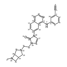 C#Cc1cccc(Nc2ncnc3ccc(-n4ccn(CCN5CC6CN(C)C6C5)c4=O)cc23)c1